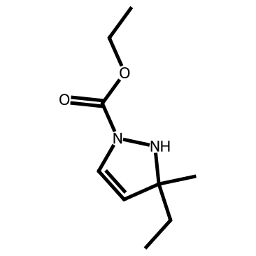 CCOC(=O)N1C=CC(C)(CC)N1